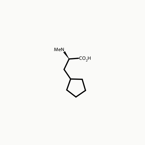 CN[C@H](CC1CCCC1)C(=O)O